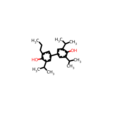 CCCc1cc(-c2cc(C(C)C)c(O)c(C(C)C)c2)cc(C(C)C)c1O